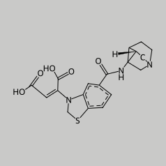 O=C(O)/C=C(\C(=O)O)N1CSc2ccc(C(=O)N[C@H]3CN4CCC3CC4)cc21